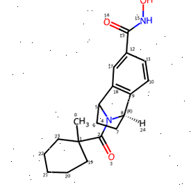 CC1(C(=O)N2C3CC[C@@H]2c2ccc(C(=O)NO)cc23)CCCCC1